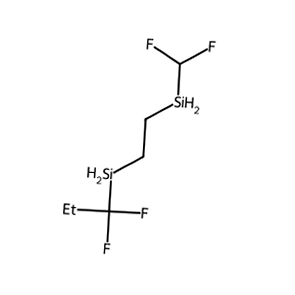 CCC(F)(F)[SiH2]CC[SiH2]C(F)F